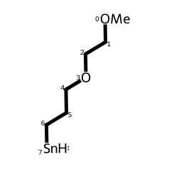 COCCOCC[CH2][SnH]